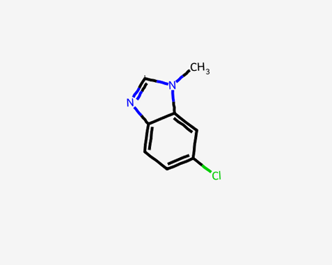 Cn1[c]nc2ccc(Cl)cc21